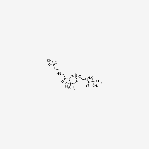 COC(=O)CCNCC(=O)[C@@H]1O[P@@](=O)(OCOC(=O)C(C)(C)C)OCC1(C)C